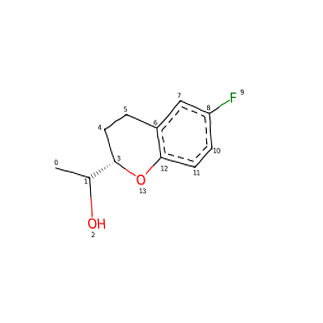 CC(O)[C@@H]1CCc2cc(F)ccc2O1